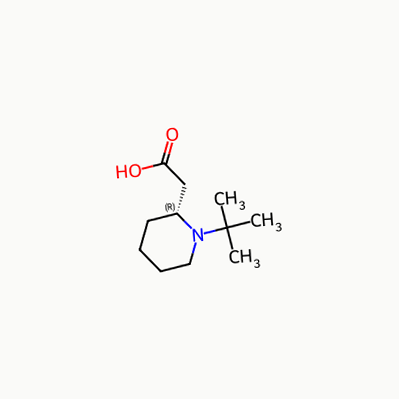 CC(C)(C)N1CCCC[C@@H]1CC(=O)O